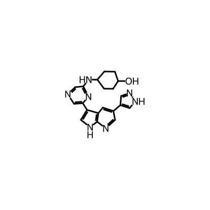 OC1CCC(Nc2cncc(-c3c[nH]c4ncc(-c5cn[nH]c5)cc34)n2)CC1